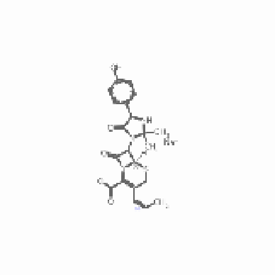 C/C=C\C1=C(C(=O)[O-])N2C(=O)C(N3C(=O)C(c4ccc(O)cc4)NC3(C)C)[C@H]2SC1.[Na+]